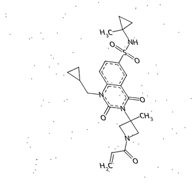 C=CC(=O)N1CC(C)(n2c(=O)c3cc(S(=O)(=O)NC4(C)CC4)ccc3n(CC3CC3)c2=O)C1